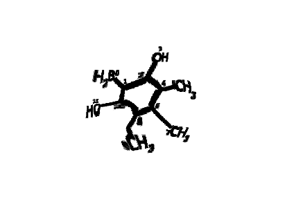 Bc1c(O)c(C)c(C)c(C)c1O